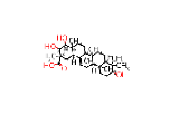 CC1(C)[C@@H](O)CC[C@]2(C)[C@H]3CC=C4[C@@H]5C[C@](C)(C(=O)O)[C@@H](O)[C@@H](O)[C@]5(C)CC[C@@]4(C)[C@]3(C)CC[C@@H]12